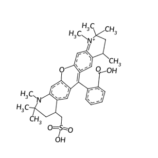 CC1CC(C)(C)[N+](C)=c2cc3c(cc21)=C(c1ccccc1C(=O)O)c1cc2c(cc1O3)N(C)C(C)(C)CC2CS(=O)(=O)O